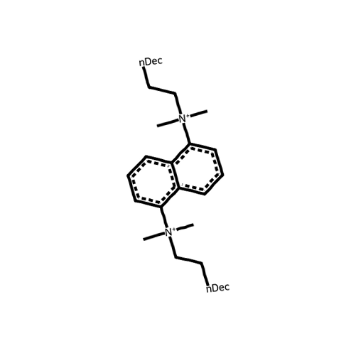 CCCCCCCCCCCC[N+](C)(C)c1cccc2c([N+](C)(C)CCCCCCCCCCCC)cccc12